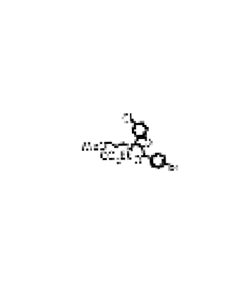 CCOC(=O)N(CCCOC)c1c(C(=O)c2ccc(Br)cc2)oc2ccc(Cl)cc12